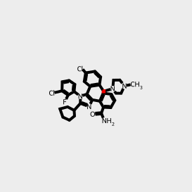 CN1CCN(Cc2ccc(Cl)cc2-c2c(-c3ccccc3C(N)=O)nc(C3CCCCC3)n2-c2cccc(Cl)c2F)CC1